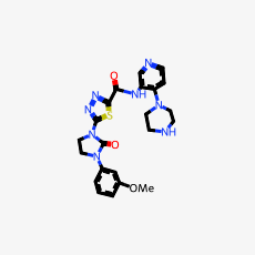 COc1cccc(N2CCN(c3nnc(C(=O)Nc4cnccc4N4CCNCC4)s3)C2=O)c1